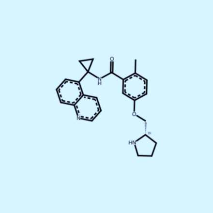 Cc1ccc(OC[C@@H]2CCCN2)cc1C(=O)NC1(c2cccc3ncccc23)CC1